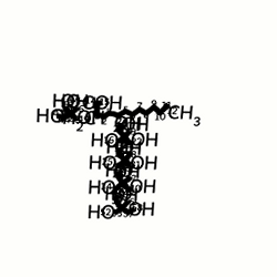 C=C(CCCCCCCCCCC)C(=O)O.OCC(CO)(CO)CO.OCC(CO)(CO)CO.OCC(CO)(CO)CO.OCC(CO)(CO)CO.OCC(CO)(CO)CO